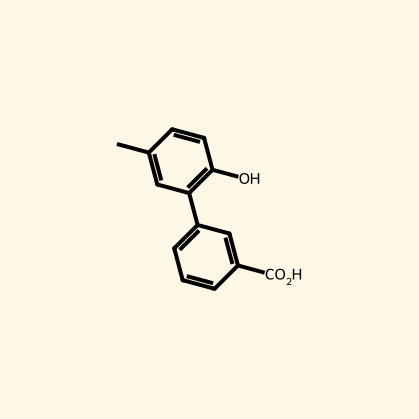 Cc1ccc(O)c(-c2cccc(C(=O)O)c2)c1